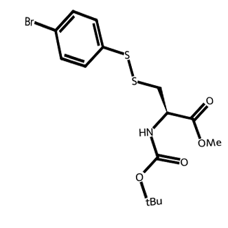 COC(=O)[C@H](CSSc1ccc(Br)cc1)NC(=O)OC(C)(C)C